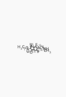 CCOC(=O)c1c2n(c3c(F)c(N4CCC(NC)C4)c(F)cc3c1=O)CS2